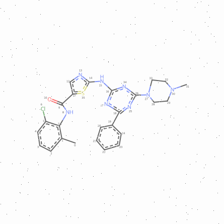 Cc1cccc(Cl)c1NC(=O)c1cnc(Nc2nc(-c3ccccc3)nc(N3CCN(C)CC3)n2)s1